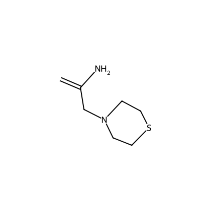 C=C(N)CN1CCSCC1